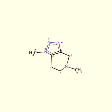 CN1CCc2c(nnn2C)C1